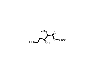 CCCCCCOC(=O)C(CCCC)C(O)CCO